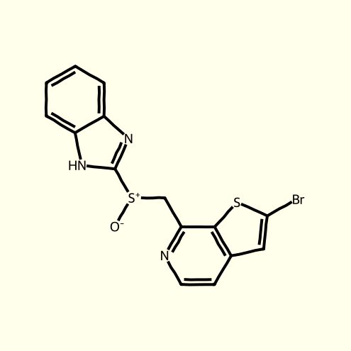 [O-][S+](Cc1nccc2cc(Br)sc12)c1nc2ccccc2[nH]1